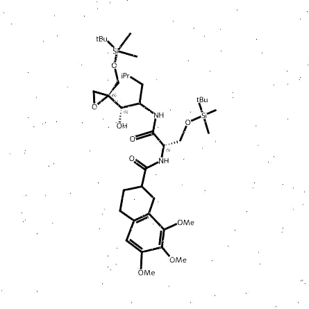 COc1cc2c(c(OC)c1OC)CC(C(=O)N[C@@H](CO[Si](C)(C)C(C)(C)C)C(=O)NC(CC(C)C)[C@H](O)[C@@]1(CO[Si](C)(C)C(C)(C)C)CO1)CC2